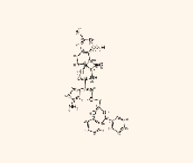 Nc1nc(C(=NOCC(=O)OC(c2ccccc2)c2ccccc2)C(=O)NC2C(=O)N3C(C(=O)O)=C(C=C(Br)Br)CS[C@@H]23)cs1